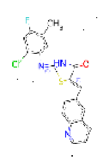 Cc1cc(/N=C2\NC(=O)/C(=C/c3ccc4ncccc4c3)S2)c(Cl)cc1F